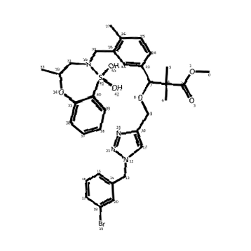 COC(=O)C(C)(C)C(OCc1cn(Cc2cccc(Br)c2)nn1)c1ccc(C)c(CN2CC(C)Oc3ccccc3S2(O)O)c1